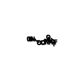 O=C(c1cc2cc(OCCCN3CCOCC3)ccc2[nH]1)N1CCC(F)(F)CC1